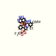 CCc1cc(OC)c(F)c([C@H](Nc2ccc3c(N)nccc3c2)C(=O)N2CCC(C(=O)OC(=O)C(F)(F)F)C2c2ccccc2S(=O)(=O)CC)c1